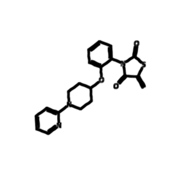 C=C1SC(=O)N(c2ccccc2OC2CCN(c3ccccn3)CC2)C1=O